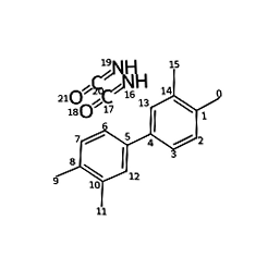 Cc1ccc(-c2ccc(C)c(C)c2)cc1C.N=C=O.N=C=O